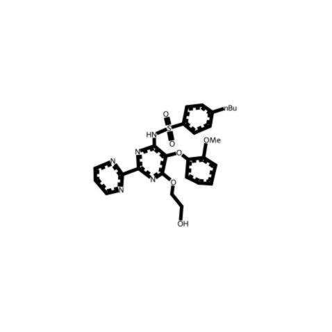 CCCCc1ccc(S(=O)(=O)Nc2nc(-c3ncccn3)nc(OCCO)c2Oc2ccccc2OC)cc1